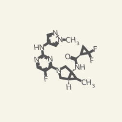 CC1[C@H]2CN(c3nc(Nc4cnn(C)c4)ncc3F)C[C@@]12NC(=O)[C@H]1CC1(F)F